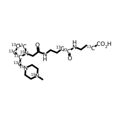 C[15N]1CC[15N]([13CH2][13CH]2[13CH2][13CH2][13CH2][15N]2CC(=O)NCC[13CH2][13C](=O)NCC[13CH2]C(=O)O)CC1